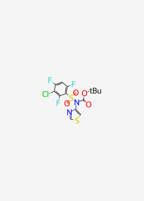 CC(C)(C)OC(=O)N(c1cscn1)S(=O)(=O)c1c(F)cc(F)c(Cl)c1F